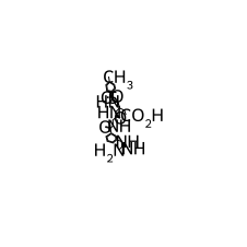 Cc1ccc(S(=O)(=O)NCC(CC(=O)O)NC(=O)CNC(=O)c2cccc(NC(=N)N)c2)cc1